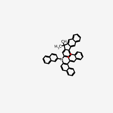 CC1(C)c2cc(N(c3ccc4ccccc4c3)c3ccc4ccccc4c3-c3ccc4ccccc4c3)ccc2-c2cc3ccccc3cc21